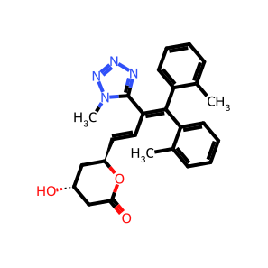 Cc1ccccc1C(=C(/C=C/[C@@H]1C[C@@H](O)CC(=O)O1)c1nnnn1C)c1ccccc1C